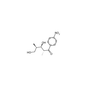 C[C@H](CO)[C@@H](O)[C@@H](C)C(=O)c1ccc([N+](=O)[O-])cc1